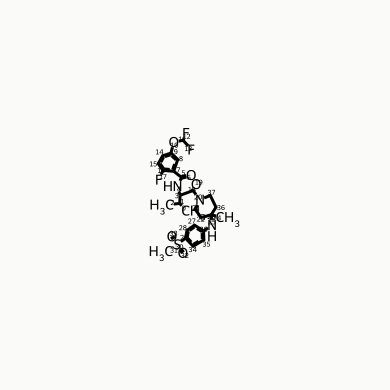 CC(C)C(NC(=O)c1cc(OC(F)F)ccc1F)C(=O)N1CCC(C)(Nc2ccc(S(C)(=O)=O)cc2)CC1